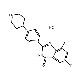 Cl.O=c1[nH]c(-c2ccc(C3CCNCC3)cc2)nc2c(F)cc(F)cc12